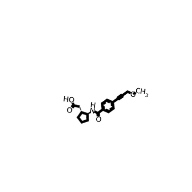 COCC#Cc1ccc(C(=O)N[C@H]2CCC[C@@H]2CC(=O)O)cc1